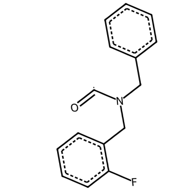 O=[C]N(Cc1ccccc1)Cc1ccccc1F